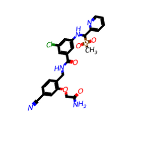 CS(=O)(=O)C(Nc1cc(Cl)cc(C(=O)NCc2ccc(C#N)cc2OCC(N)=O)c1)c1ccccn1